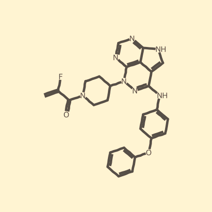 C=C(F)C(=O)N1CCC(N2N=C(Nc3ccc(Oc4ccccc4)cc3)c3c[nH]c4ncnc2c34)CC1